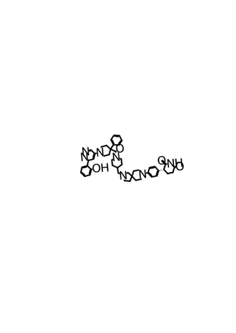 O=C1CC[C@H](c2ccc(N3CCC4(CCN(CC5CCN(C(=O)C6(c7ccccc7)CCN(c7cnnc(-c8ccccc8O)c7)CC6)CC5)C4)CC3)cc2)C(=O)N1